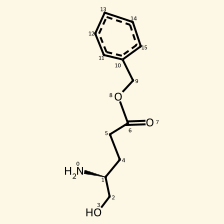 N[C@H](CO)CCC(=O)OCc1ccccc1